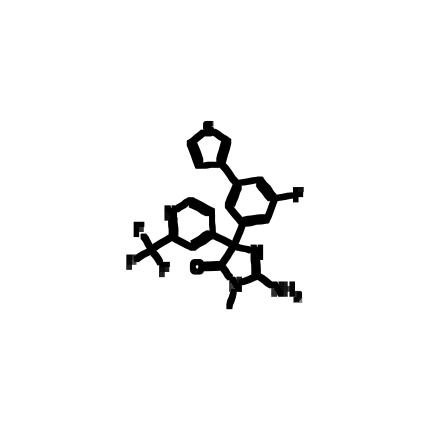 CN1C(=O)C(c2cc(F)cc(-c3ccsc3)c2)(c2ccnc(C(F)(F)F)c2)N=C1N